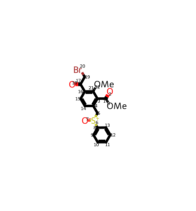 COC(=O)c1c(C[S+]([O-])c2ccccc2)ccc(C(=O)CBr)c1OC